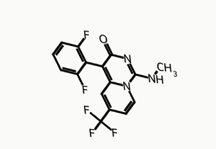 CNc1nc(=O)c(-c2c(F)cccc2F)c2cc(C(F)(F)F)ccn12